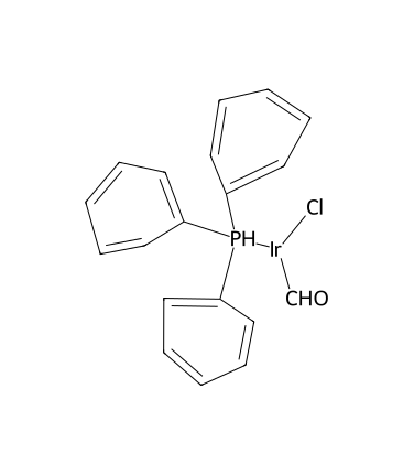 O=[CH][Ir]([Cl])[PH](c1ccccc1)(c1ccccc1)c1ccccc1